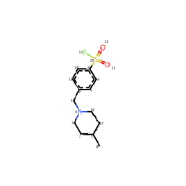 CC1CCN(Cc2ccc(S(=O)(=O)F)cc2)CC1